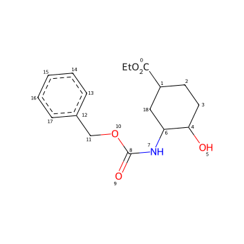 CCOC(=O)C1CCC(O)C(NC(=O)OCc2ccccc2)C1